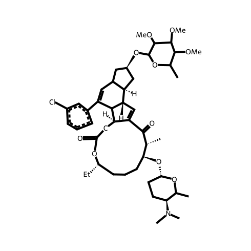 CC[C@H]1CCC[C@H](O[C@H]2CC[C@H](N(C)C)C(C)O2)[C@@H](C)C(=O)C2=C[C@@H]3C(C(c4cccc(Cl)c4)=CC4C[C@@H](OC5OC(C)C(OC)C(OC)C5OC)C[C@H]43)[C@@H]2CC(=O)O1